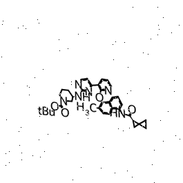 Cc1ccc2c(NC(=O)[C@@H]3CC34CC4)cccc2c1Oc1ncccc1-c1ccnc(N[C@H]2CCCN(C(=O)OC(C)(C)C)C2)n1